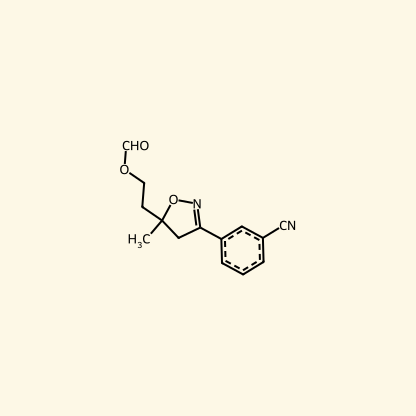 CC1(CCOC=O)CC(c2cccc(C#N)c2)=NO1